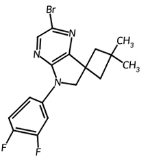 CC1(C)CC2(CN(c3ccc(F)c(F)c3)c3ncc(Br)nc32)C1